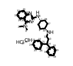 CN(C)c1nc(N[C@H]2CC[C@@H](NCCC(c3ccccc3)c3ccccc3)CC2)nc2ccccc12.Cl.Cl